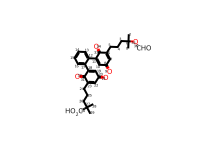 CC(C)(CCCC1=CC(=O)C=C(c2ccccc2C2=CC(=O)C=C(CCCC(C)(C)C(=O)O)C2=O)C1=O)OC=O